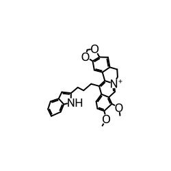 COc1ccc2c(CCCc3cc4ccccc4[nH]3)c3[n+](cc2c1OC)CCc1cc2c(cc1-3)OCO2